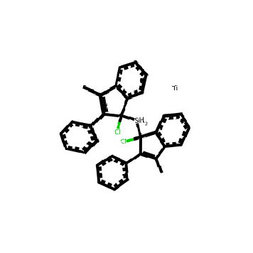 CC1=C(c2ccccc2)C(Cl)([SiH2]C2(Cl)C(c3ccccc3)=C(C)c3ccccc32)c2ccccc21.[Ti]